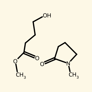 CN1CCCC1=O.COC(=O)CCCO